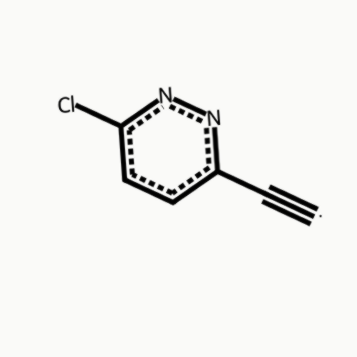 [C]#Cc1ccc(Cl)nn1